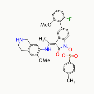 COc1cc2c(cc1N/C(C)=C1\C(=O)N(OS(=O)(=O)c3ccc(C)cc3)c3ccc(-c4c(F)cccc4OC)cc31)CNCC2